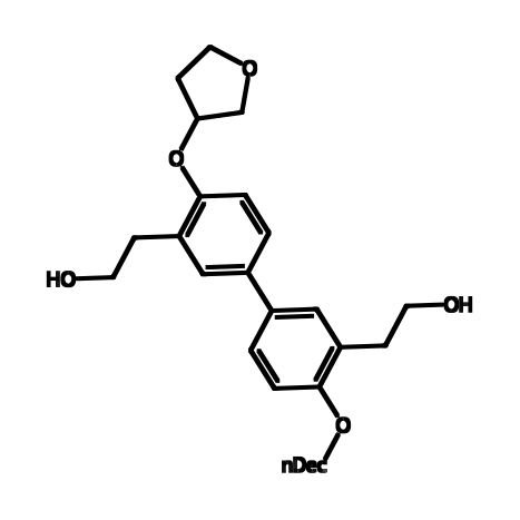 CCCCCCCCCCOc1ccc(-c2ccc(OC3CCOC3)c(CCO)c2)cc1CCO